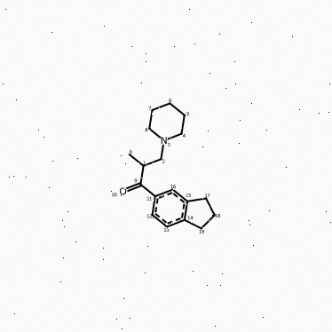 CC(CN1CCCCC1)C(=O)c1ccc2c(c1)CCC2